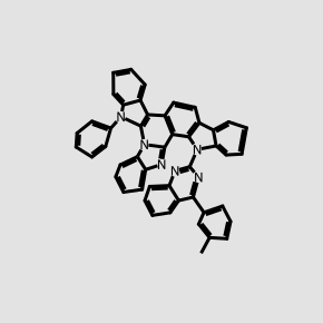 Cc1cccc(-c2nc(-n3c4ccccc4c4ccc5c(c43)c3nc4ccccc4n3c3c5c4ccccc4n3-c3ccccc3)nc3ccccc23)c1